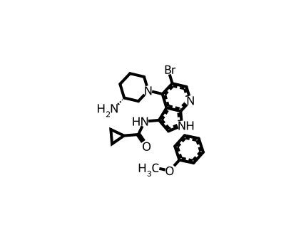 COc1ccccc1.N[C@@H]1CCCN(c2c(Br)cnc3[nH]cc(NC(=O)C4CC4)c23)C1